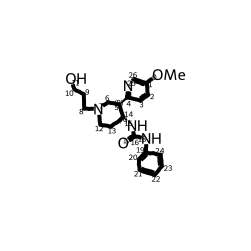 COc1ccc([C@@H]2CN(CCCO)CC[C@H]2NC(=O)Nc2ccccc2)nc1